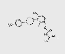 N#Cc1ccc(COC(=O)NC(=N)N)c(F)c1N1CCC(c2ccc(C(F)(F)F)cc2)CC1